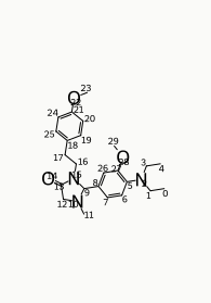 CCN(CC)c1ccc(C2N(C)CC(=O)N2CCc2ccc(OC)cc2)cc1OC